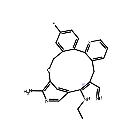 CCN/C1=C(\C=N)Cc2cccnc2-c2ccc(F)cc2COc2cc1cnc2N